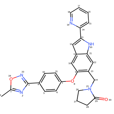 Cc1nc(-c2ccc(Oc3cc4cc(-c5ccccn5)[nH]c4cc3CN3CCCC3=O)cc2)no1